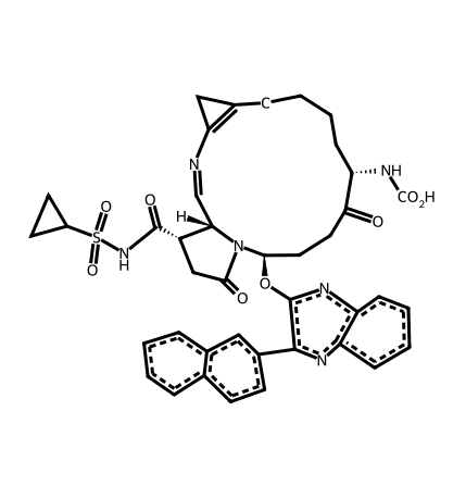 O=C(O)N[C@H]1CCCCC2=C(C2)/N=C\[C@H]2[C@@H](C(=O)NS(=O)(=O)C3CC3)CC(=O)N2[C@H](Oc2nc3ccccc3nc2-c2ccc3ccccc3c2)CCC1=O